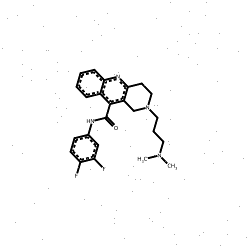 CN(C)CCCN1CCc2nc3ccccc3c(C(=O)Nc3ccc(F)c(F)c3)c2C1